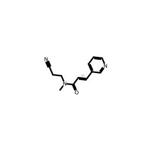 CN(CCC#N)C(=O)/C=C/c1cccnc1